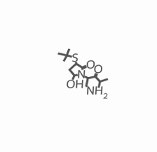 CC(C)C(=O)C(CN)N1C(=O)C(SC(C)(C)C)CC1O